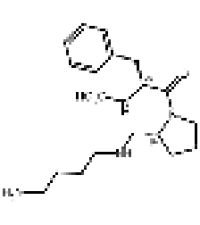 NCCCCNC[C@H]1CCCN1C(=O)[C@H](Cc1ccccc1)NC(=O)O